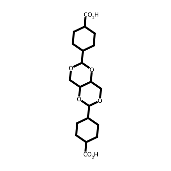 O=C(O)C1CCC(C2OCC3OC(C4CCC(C(=O)O)CC4)OCC3O2)CC1